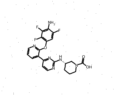 Nc1c(F)cc(Oc2ncccc2-c2ccnc(N[C@H]3CCCN(C(=O)O)C3)n2)c(F)c1F